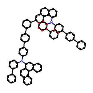 c1ccc(-c2ccc(-c3ccc(N(c4ccccc4-c4ccccc4)c4cccc5ccc6cc(-c7cccc(-c8ccc(-c9ccc(N(c%10cccc(-c%11ccccc%11)c%10)c%10cc%11ccccc%11c%11c%10ccc%10ccccc%10%11)cc9)cc8)c7)c7ccccc7c6c45)cc3)cc2)cc1